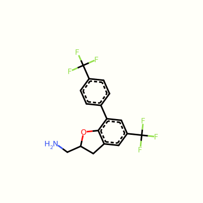 NCC1Cc2cc(C(F)(F)F)cc(-c3ccc(C(F)(F)F)cc3)c2O1